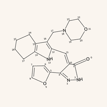 O=C1NN=C(c2ccco2)/C1=C\c1[nH]c2c(c1CN1CCOCC1)CCCC2